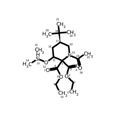 CCOC(=O)C1(C(=O)OCC)C(O[SiH](C)C)C[C@@H](C(C)(C)C)CN1C(C)=O